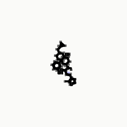 Cc1occc1/C=C/C(=O)N(C)[C@H]1CC[C@]2(O)CN(CC3CC3)CC[C@@]2(c2cccc(O)c2)C1